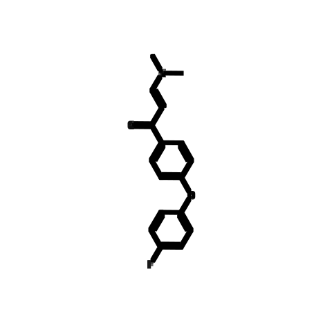 CN(C)C=CC(=O)c1ccc(Oc2ccc(F)cc2)cc1